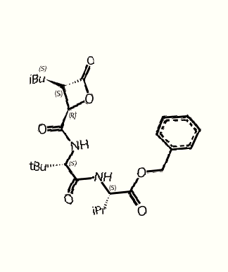 CC[C@H](C)[C@@H]1C(=O)O[C@H]1C(=O)N[C@H](C(=O)N[C@H](C(=O)OCc1ccccc1)C(C)C)C(C)(C)C